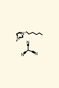 CCCCCC[n+]1ccn(C)c1.N#CC(C#N)C#N